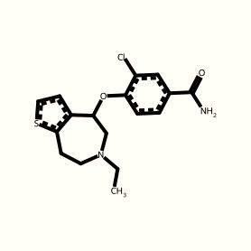 CCN1CCc2sccc2C(Oc2ccc(C(N)=O)cc2Cl)C1